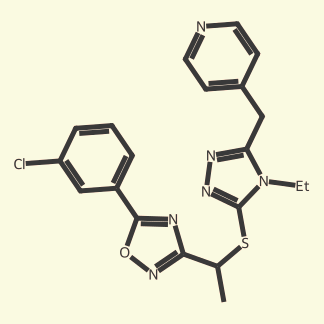 CCn1c(Cc2ccncc2)nnc1SC(C)c1noc(-c2cccc(Cl)c2)n1